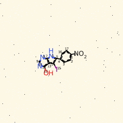 O=[N+]([O-])c1ccc(-c2[nH]c3ncnc(O)c3c2I)cc1